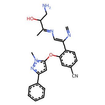 C=N/C(=C\N=C(/C)C(O)CN)c1ccc(C#N)cc1Oc1cc(-c2ccccc2)nn1C